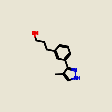 Cc1c[nH]nc1-c1cccc(CCCO)c1